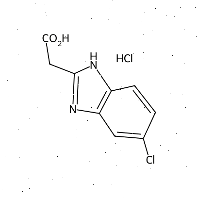 Cl.O=C(O)Cc1nc2cc(Cl)ccc2[nH]1